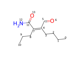 CCCC/C(C=O)=C(\CCC)C(N)=O